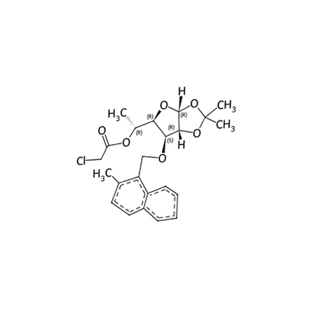 Cc1ccc2ccccc2c1CO[C@@H]1[C@H]2OC(C)(C)O[C@H]2O[C@@H]1[C@@H](C)OC(=O)CCl